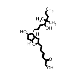 CCCC(C)(C)C(O)CCC[C@@H]1[C@H]2CC(CCC=CC(=O)CO)O[C@H]2C[C@H]1O